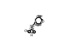 C/C1=C/[C@H](C)[C@@H](O)[C@](C)(O)C[C@@H](C)CN(CCCNCc2nc3c(o2)-c2cc(Cl)ccc2Nc2ccccc2-3)[C@H](C)[C@@H](O)[C@](C)(O)[C@@H](I)OC1=O